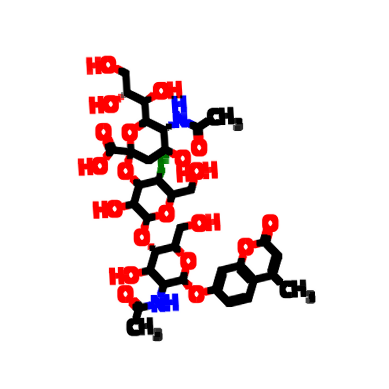 CC(=O)NC1C(O)[C@H](O[C@@H]2OC(CO)[C@H](F)C(O[C@]3(C(=O)O)CC(O)[C@@H](NC(C)=O)C([C@H](O)[C@H](O)CO)O3)C2O)C(CO)O[C@H]1Oc1ccc2c(C)cc(=O)oc2c1